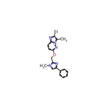 CCc1nc2ccc(OCc3nc(-c4ccccc4)cn3C)nn2c1C